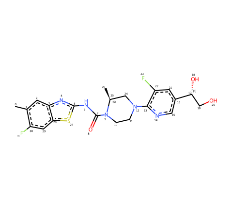 Cc1cc2nc(NC(=O)N3CCN(c4ncc([C@H](O)CO)cc4F)C[C@@H]3C)sc2cc1F